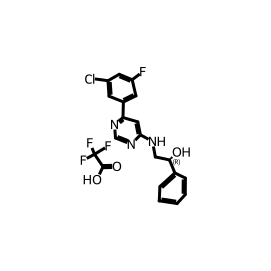 O=C(O)C(F)(F)F.O[C@@H](CNc1cc(-c2cc(F)cc(Cl)c2)ncn1)c1ccccc1